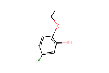 Bc1cc(Cl)ccc1OCC